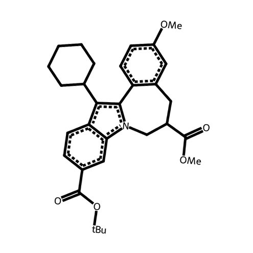 COC(=O)C1Cc2cc(OC)ccc2-c2c(C3CCCCC3)c3ccc(C(=O)OC(C)(C)C)cc3n2C1